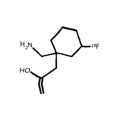 C=C(O)CC1(CN)CCCC([18F])C1